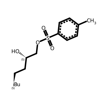 CC[C@H](C)CC[C@H](O)COS(=O)(=O)c1ccc(C)cc1